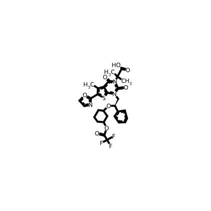 Cc1c(-c2ncco2)sc2c1c(=O)n(C(C)(C)C(=O)O)c(=O)n2C[C@H](OC1CCCC(OC(=O)C(F)(F)F)C1)c1ccccc1